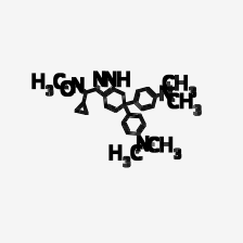 CO/N=C(/c1n[nH]c2c1C=CC(c1ccc(N(C)C)cc1)(c1ccc(N(C)C)cc1)C2)C1CC1